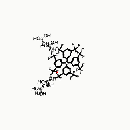 FC(F)(F)c1cc([B-](c2cc(C(F)(F)F)cc(C(F)(F)F)c2)(c2cc(C(F)(F)F)cc(C(F)(F)F)c2)c2cc(C(F)(F)F)cc(C(F)(F)F)c2)cc(C(F)(F)F)c1.OB(O)O.OB(O)O.OB(O)O.OB(O)O.[Na+]